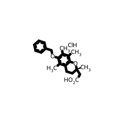 Cc1c(C)c2c(c(C)c1OCc1ccccc1)CC[C@@](C)(CC(=O)O)O2.Cl